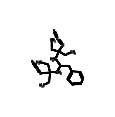 CCC(CC)(N=C=S)[SiH2]C(Cc1ccccc1)[SiH2]C(CC)(CC)N=C=S